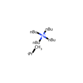 CCCC[N+](CCCC)(CCCC)CCCC.C[C](C)C